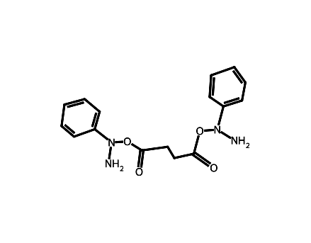 NN(OC(=O)CCC(=O)ON(N)c1ccccc1)c1ccccc1